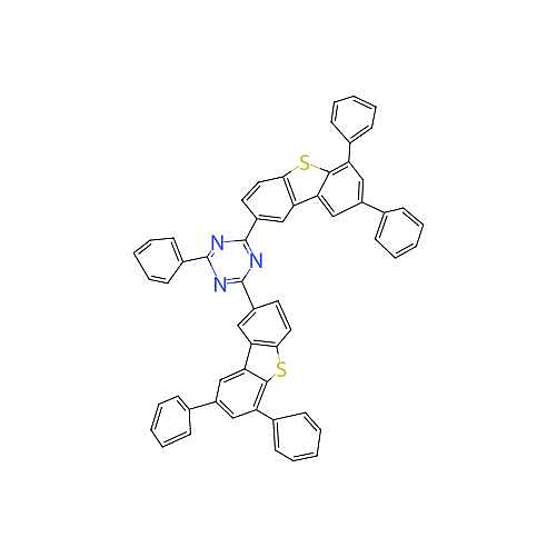 c1ccc(-c2cc(-c3ccccc3)c3sc4ccc(-c5nc(-c6ccccc6)nc(-c6ccc7sc8c(-c9ccccc9)cc(-c9ccccc9)cc8c7c6)n5)cc4c3c2)cc1